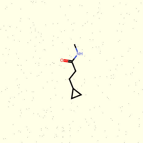 CNC(=O)C[CH]C1CC1